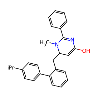 CC(C)c1ccc(-c2ccccc2CC2C=C(O)N=C(c3ccccc3)N2C)cc1